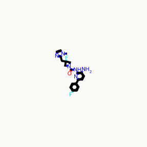 Cn1ccnc1CC1(F)CN(C(=O)Nc2nc(-c3ccc(F)cc3)ccc2N)C1